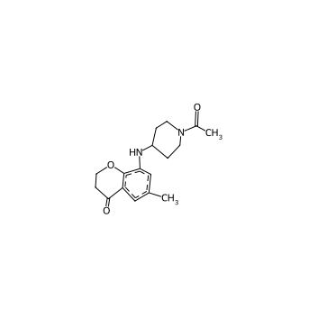 CC(=O)N1CCC(Nc2cc(C)cc3c2OCCC3=O)CC1